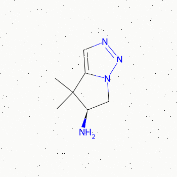 CC1(C)c2cnnn2C[C@H]1N